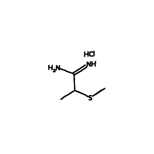 CSC(C)C(=N)N.Cl